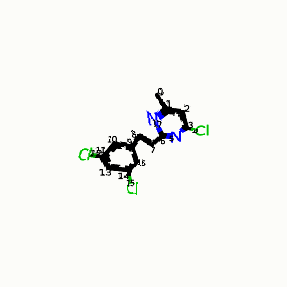 Cc1cc(Cl)nc(C=Cc2cc(Cl)cc(Cl)c2)n1